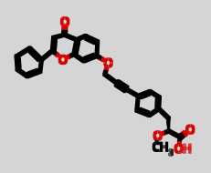 CO[C@@H](Cc1ccc(C#CCOc2ccc3c(=O)cc(-c4ccccc4)oc3c2)cc1)C(=O)O